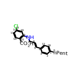 CCCCCc1ccc(C=CCNc2cc(Cl)ccc2C(=O)O)cc1